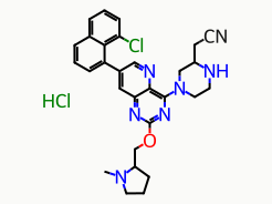 CN1CCCC1COc1nc(N2CCNC(CC#N)C2)c2ncc(-c3cccc4cccc(Cl)c34)cc2n1.Cl